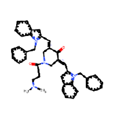 CN(C)CCC(=O)N1C/C(=C\c2cc3ccccc3n2Cc2ccccc2)C(=O)/C(=C/c2cc3ccccc3n2Cc2ccccc2)C1